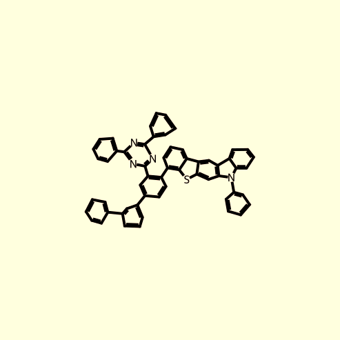 c1ccc(-c2cccc(-c3ccc(-c4cccc5c4sc4cc6c(cc45)c4ccccc4n6-c4ccccc4)c(-c4nc(-c5ccccc5)nc(-c5ccccc5)n4)c3)c2)cc1